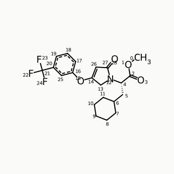 COC(=O)[C@H](CC1CCCCC1)N1CC(Oc2cccc(C(F)(F)F)c2)=CC1=O